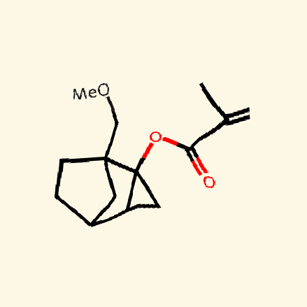 C=C(C)C(=O)OC12CC1C1CCC2(COC)C1